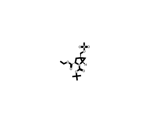 CCOC(=O)[C@@H]1C[C@]2(COS(C)(=O)=O)C[C@@H]2N1C(=O)OC(C)(C)C